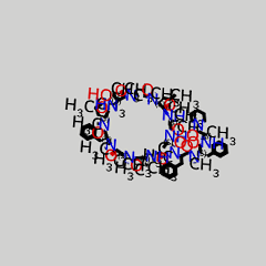 CC(C)C[C@H]1C(=O)N[C@@H](C(C)C)C(=O)N[C@H](C(=O)N(C)C(Cc2ccccc2)C(=O)N(C)[C@@H](Cc2ccccc2)C(=O)N[C@@H](C)C(=O)N2CCCCC2)CC(=O)N[C@H](C(C)C)C(=O)N(C)[C@@H](C)C(=O)N(C)[C@@H](Cc2ccccc2)C(=O)N(C)[C@@H](CC(C)C)C(=O)N[C@@H]([C@@H](C)O)C(=O)N(C)CC(=O)N1C